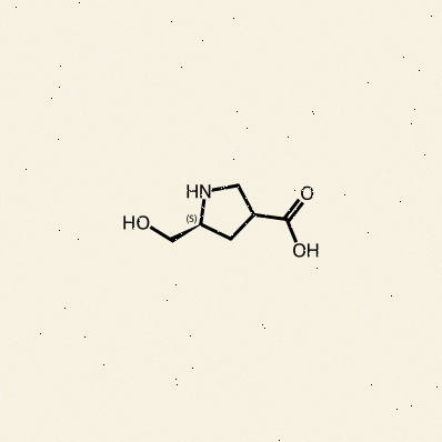 O=C(O)C1CN[C@H](CO)C1